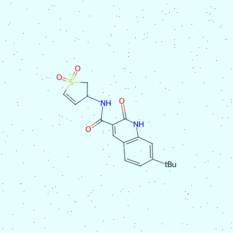 CC(C)(C)c1ccc2cc(C(=O)NC3C=CS(=O)(=O)C3)c(=O)[nH]c2c1